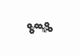 c1ccc2c(c1)c1ccccc1n1c(-c3ccc4ccc(-n5c6ccccc6c6ccccc65)cc4c3)nnc21